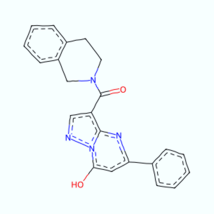 O=C(c1cnn2c(O)cc(-c3ccccc3)nc12)N1CCc2ccccc2C1